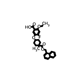 CCOc1cc(F)c(OC2CCC(C)(C(=O)OCc3cccc4ccccc34)CC2)cc1C(=O)O